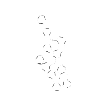 c1ccc(-c2ccc(N(c3ccc(-c4ccccc4)cc3)c3cccc4sc5cc(C(c6ccccc6)c6ccc7c(c6)C6(c8ccccc8S7)c7ccccc7-c7ccccc76)ccc5c34)cc2)cc1